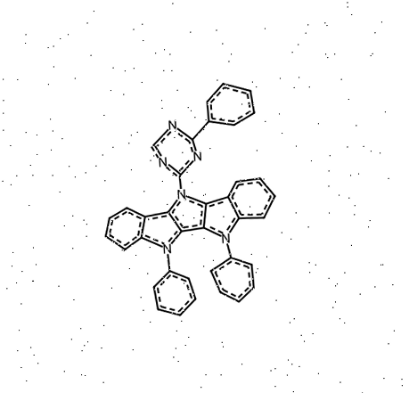 c1ccc(-c2ncnc(-n3c4c5ccccc5n(-c5ccccc5)c4c4c3c3ccccc3n4-c3ccccc3)n2)cc1